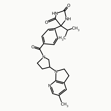 Cc1cnc2c(c1)CCN2C1CCN(C(=O)c2ccc(C3(C(C)C)NC(=O)NC3=O)cc2)C1